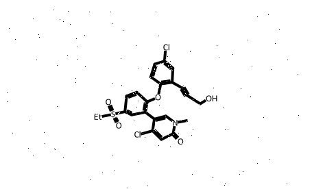 CCS(=O)(=O)c1ccc(Oc2ccc(Cl)cc2C#CCO)c(-c2cn(C)c(=O)cc2Cl)c1